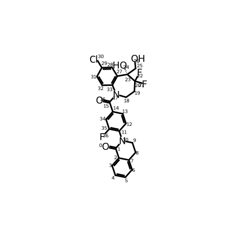 O=C1c2ccccc2CCN1c1ccc(C(=O)N2CCC(F)(F)[C@](O)(CO)c3cc(Cl)ccc32)cc1F